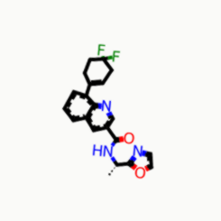 C[C@H](NC(=O)c1cnc2c(C3=CCC(F)(F)CC3)cccc2c1)c1ncco1